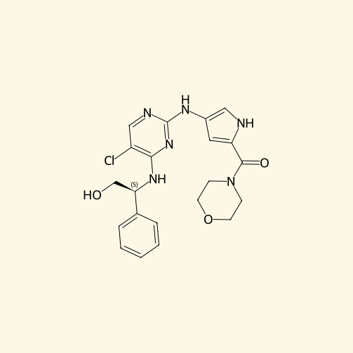 O=C(c1cc(Nc2ncc(Cl)c(N[C@H](CO)c3ccccc3)n2)c[nH]1)N1CCOCC1